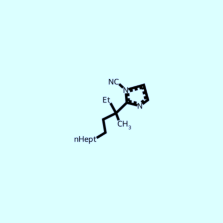 CCCCCCCCCC(C)(CC)c1nccn1C#N